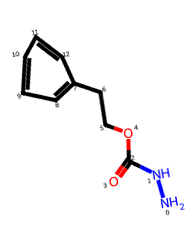 NNC(=O)OCCc1cc[c]cc1